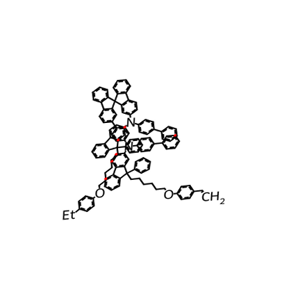 C=Cc1ccc(OCCCCCCC2(c3ccccc3)c3ccccc3-c3ccc(N(c4ccc(-c5ccccc5)cc4)c4ccc(-c5ccc6c(c5)C5(c7ccccc7-6)c6ccccc6-c6ccc(N(c7ccc(-c8ccccc8)cc7)c7ccc8c(c7)C(CCCCCCOc7ccc(CC)cc7)(c7ccccc7)c7ccccc7-8)cc65)cc4)cc32)cc1